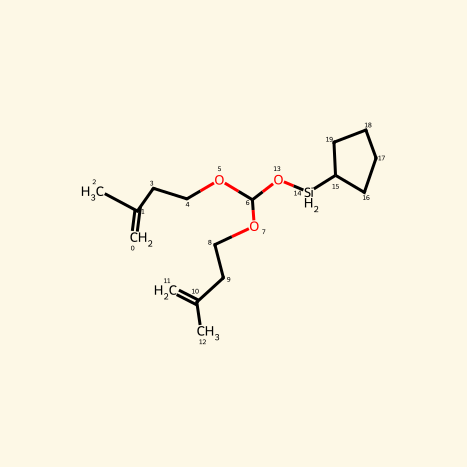 C=C(C)CCOC(OCCC(=C)C)O[SiH2]C1CCCC1